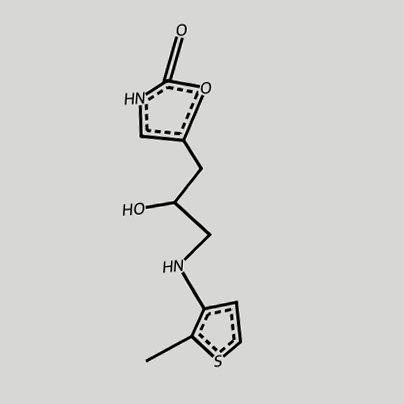 Cc1sccc1NCC(O)Cc1c[nH]c(=O)o1